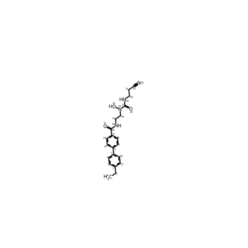 CCc1ccc(-c2ccc(C(=O)NCCN(O)C(=O)NCCC#N)cc2)cc1